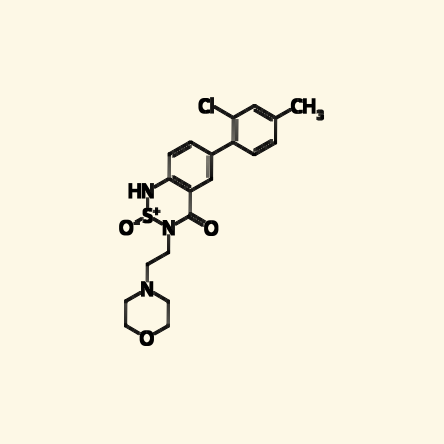 Cc1ccc(-c2ccc3c(c2)C(=O)N(CCN2CCOCC2)[S+]([O-])N3)c(Cl)c1